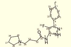 Cc1ccc(-c2n[nH]c(NC(=O)CCCN3CCCC3)c2F)cn1